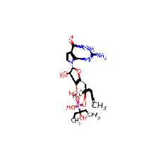 CCC(C)(C[C@H]1O[C@@H](n2ccc3c(=O)[nH]c(N)nc32)[C@H](O)[C@@H]1O)OP(=O)(O)C(O)(CC)CC